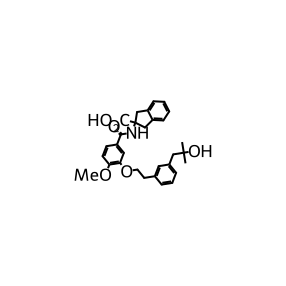 COc1ccc(C(=O)NC2(C(=O)O)Cc3ccccc3C2)cc1OCCc1cccc(CC(C)(C)O)c1